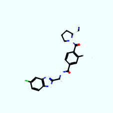 Cc1cc(C(=O)N[C@@H](C)c2nc3cc(Cl)ccc3[nH]2)ccc1C(=O)N1CCC[C@H]1CN